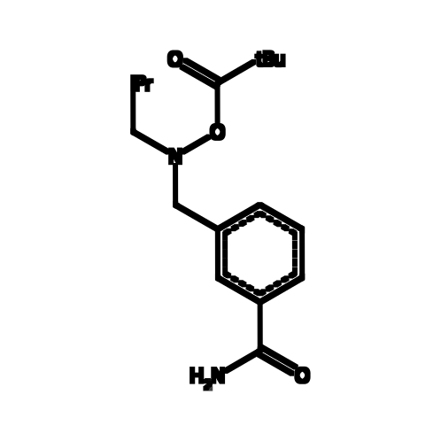 CC(C)CN(Cc1cccc(C(N)=O)c1)OC(=O)C(C)(C)C